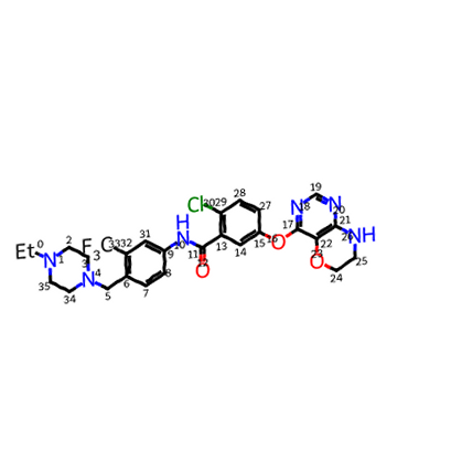 CCN1CCN(Cc2ccc(NC(=O)c3cc(Oc4ncnc5c4OCCN5)ccc3Cl)cc2C(F)(F)F)CC1